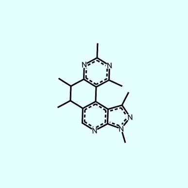 Cc1nc(C)c2c(n1)C(C)C(C)c1cnc3c(c(C)nn3C)c1-2